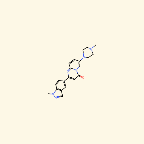 CN1CCN(c2ccc3nc(-c4ccc5c(cnn5C)c4)cc(=O)n3c2)CC1